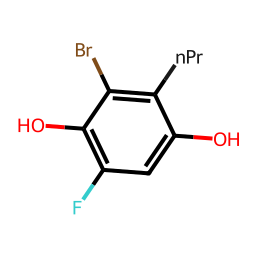 CCCc1c(O)cc(F)c(O)c1Br